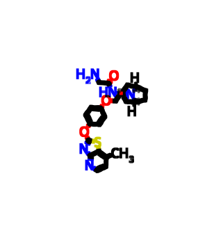 Cc1ccnc2nc(Oc3ccc(OCCN4[C@@H]5CC[C@H]4C[C@@H](NC(=O)CN)C5)cc3)sc12